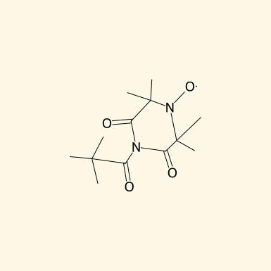 CC(C)(C)C(=O)N1C(=O)C(C)(C)N([O])C(C)(C)C1=O